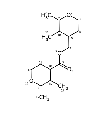 CC1OCCC(COC(=O)C2CCOC(C)C2C)C1C